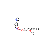 CCOC(=O)C(Cc1ccc(OCCO/N=C(/C)c2ccc(-c3ccccn3)cc2)cc1)Oc1ccccc1